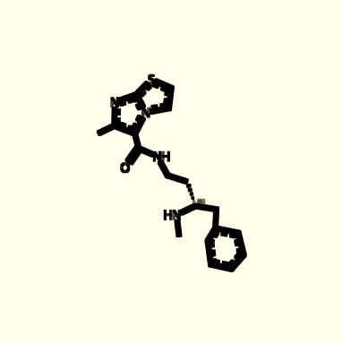 CN[C@H](CCNC(=O)c1c(C)nc2sccn12)Cc1ccccc1